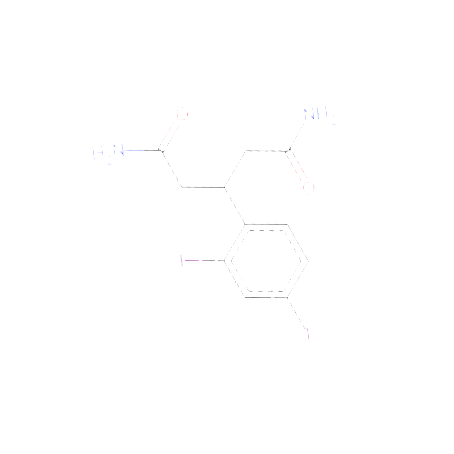 NC(=O)CC(CC(N)=O)c1ccc(I)cc1I